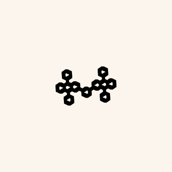 c1ccc(-c2c3ccccc3c(-c3ccccc3)c3cc(-c4cccc(-c5ccc6c(-c7ccccc7)c7ccccc7c(-c7ccccc7)c6c5)c4)ccc23)cc1